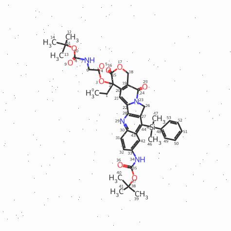 CCC1(OC(=O)CNC(=O)OC(C)(C)C)C(=O)OCc2c1cc1n(c2=O)Cc2c-1nc1ccc(NC(=O)OC(C)(C)C)cc1c2[Si](C)(C)c1ccccc1